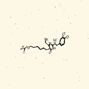 COC(=O)COCCCCCCc1c(C=N)nc(NCc2ccc(Cl)c(Cl)c2)[nH]c1=O